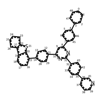 c1ccc(-c2ccc(-c3cc(-c4ccc(-c5cccc6c5sc5ccccc56)cc4)nc(-c4ccc(-c5cccnc5)cc4)n3)cc2)cc1